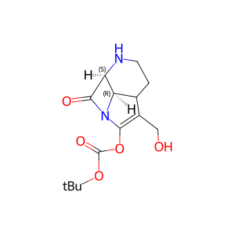 CC(C)(C)OC(=O)OC1=C(CO)C2CCN[C@@H]3C(=O)N1[C@H]23